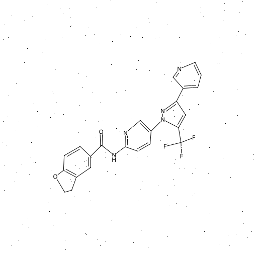 O=C(Nc1ccc(-n2nc(-c3cccnc3)cc2C(F)(F)F)cn1)c1ccc2c(c1)CCO2